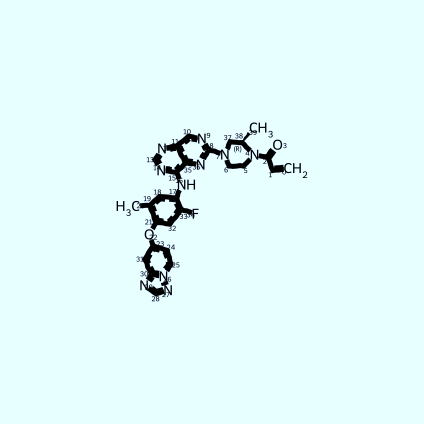 C=CC(=O)N1CCN(c2ncc3ncnc(Nc4cc(C)c(Oc5ccn6ncnc6c5)cc4F)c3n2)C[C@H]1C